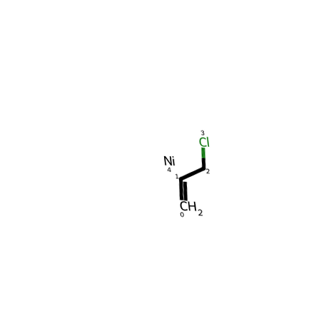 C=CCCl.[Ni]